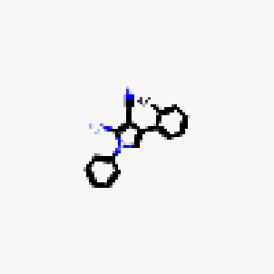 Cc1ccccc1-c1cn(-c2ccccc2)c(N)c1C#N